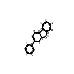 C1=C(c2ccccc2)CC2Sc3ccccc3C2=C1